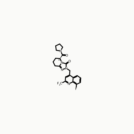 O=C([C@@H]1CCCc2nn(Cc3cc(C(F)(F)F)nc4c(F)cccc34)c(=O)n21)N1CCCC1